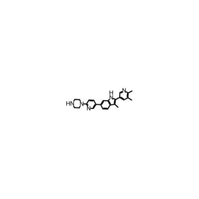 Cc1cc(-c2[nH]c3cc(-c4ccc(N5CCNCC5)nc4)ccc3c2C)cnc1C